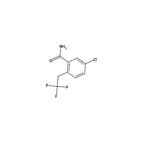 NC(=O)c1cc(Cl)ccc1[CH]C(F)(F)F